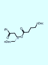 CCCCCCCCCCCCCC(=O)O[C@H](CCCCCCCCCCC)CC(=O)C(C)C